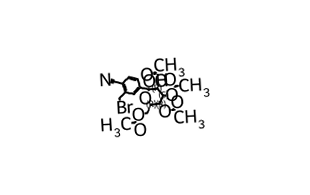 CC(=O)OC[C@H]1OC(O)(c2ccc(C#N)c(CBr)c2)[C@H](OC(C)=O)[C@@H](OC(C)=O)[C@@H]1OC(C)=O